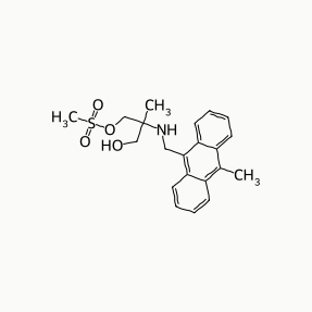 Cc1c2ccccc2c(CNC(C)(CO)COS(C)(=O)=O)c2ccccc12